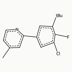 Cc1ccnc(-c2cc(Cl)c(F)c(C(C)(C)C)c2)c1